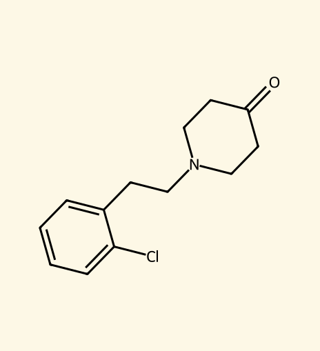 O=C1CCN(CCc2ccccc2Cl)CC1